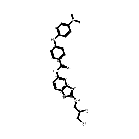 CN(C)c1ccc(Nc2ccc(C(=O)Nc3ccc4[nH]c(NCC(O)CO)nc4c3)cc2)cc1